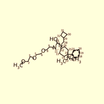 COCCOCCOCCN1C[C@]2(CC[C@](c3ccccc3)(N(C)C)CC2)N(CC2CCC2)C1O